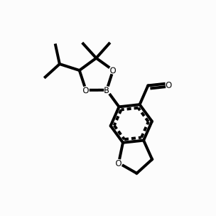 CC(C)C1OB(c2cc3c(cc2C=O)CCO3)OC1(C)C